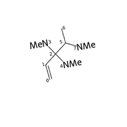 C=CC(NC)(NC)C(C)NC